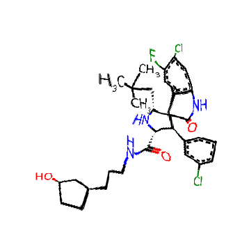 CC(C)(C)C[C@H]1N[C@@H](C(=O)NCCC[C@H]2CC[C@@H](O)C2)[C@H](c2cccc(Cl)c2)[C@@]12C(=O)Nc1cc(Cl)c(F)cc12